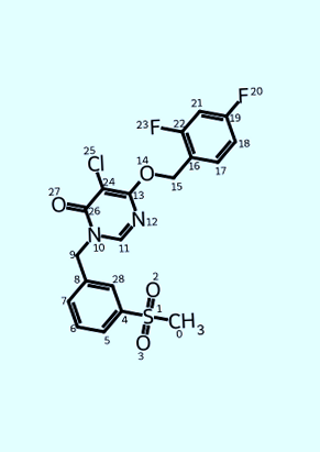 CS(=O)(=O)c1cccc(Cn2cnc(OCc3ccc(F)cc3F)c(Cl)c2=O)c1